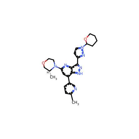 Cc1ccc(-c2cc(N3CCOC[C@H]3C)nc3c(-c4ccn(C5CCCCO5)n4)n[nH]c23)cn1